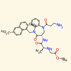 COc1ccc2cc(C(=O)O)ccc2c1CN1C(=O)[C@@H](NC(=O)[C@H](C)NCC(=O)OC(C)(C)C)CN(C(=O)CCN)c2ccccc21